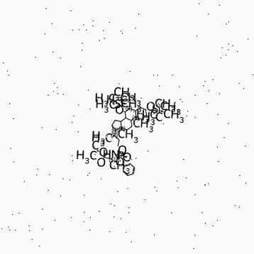 CC[C@H]1C(O[Si](C)(C)C(C)(C)C)C2C(CC[C@@]3(C)C2CC[C@@H]3[C@H](C)CCOP(=O)(N[C@@H](C)C(=O)OC(C)C)Oc2ccccc2)[C@@]2(C)CCC(O[Si](C)(C)C(C)(C)C)CC12